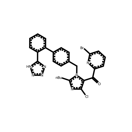 CCCCc1nc(Cl)c(C(=O)c2cccc(Br)n2)n1Cc1ccc(-c2ccccc2-c2nnn[nH]2)cc1